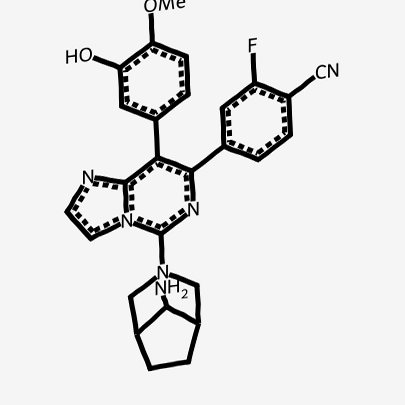 COc1ccc(-c2c(-c3ccc(C#N)c(F)c3)nc(N3CC4CCC(C3)C4N)n3ccnc23)cc1O